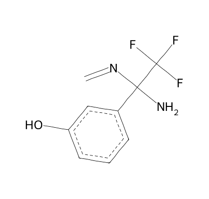 C=NC(N)(c1cccc(O)c1)C(F)(F)F